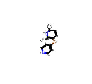 N#Cc1ccc(Sc2ccncc2)c(C#N)n1